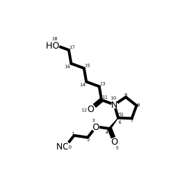 N#CCCOC(=O)[C@@H]1CCCN1C(=O)CCCCCO